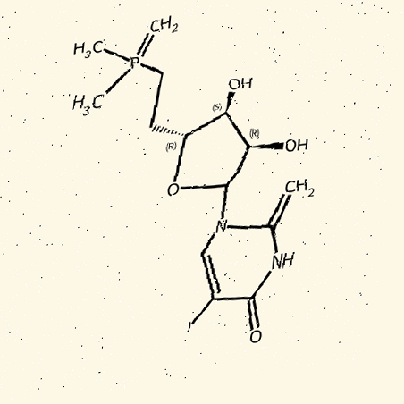 C=C1NC(=O)C(I)=CN1C1O[C@H](CCP(=C)(C)C)[C@@H](O)[C@H]1O